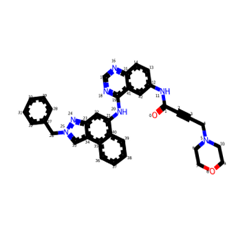 O=C(C#CCN1CCOCC1)Nc1ccc2ncnc(Nc3cc4nn(Cc5ccccc5)cc4c4ccccc34)c2c1